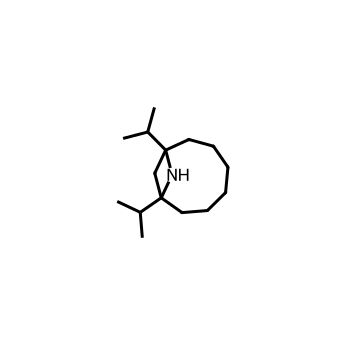 CC(C)C12CCCCCCC(C(C)C)(C1)N2